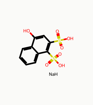 O=S(=O)(O)c1cc(O)c2ccccc2c1S(=O)(=O)O.[NaH]